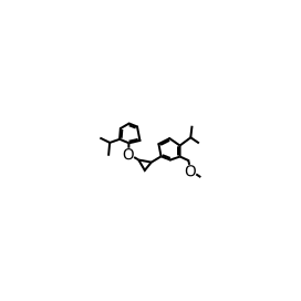 COCc1cc(C2CC2Oc2ccccc2C(C)C)ccc1C(C)C